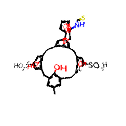 Cc1cc2c(O)c(c1)Cc1cc(S(=O)(=O)O)cc(c1O)Cc1cc(-c3ccco3)cc(c1OCC(=O)NC=S)Cc1cc(S(=O)(=O)O)cc(c1O)C2